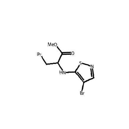 COC(=O)C(CC(C)C)Nc1sncc1Br